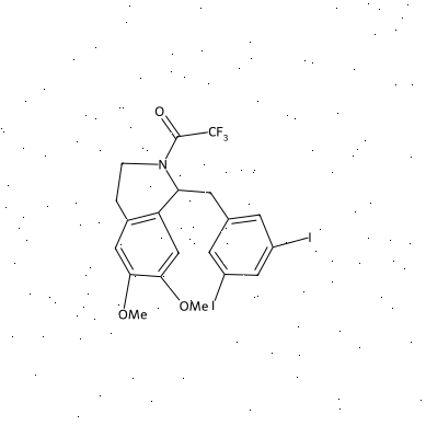 COc1cc2c(cc1OC)C(Cc1cc(I)cc(I)c1)N(C(=O)C(F)(F)F)CC2